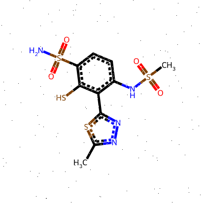 Cc1nnc(-c2c(NS(C)(=O)=O)ccc(S(N)(=O)=O)c2S)s1